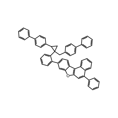 c1ccc(-c2ccc(CC3(c4ccccc4-c4ccc5c(c4)oc4cc(-c6ccccc6)c6ccccc6c45)CC3c3ccc(-c4ccccc4)cc3)cc2)cc1